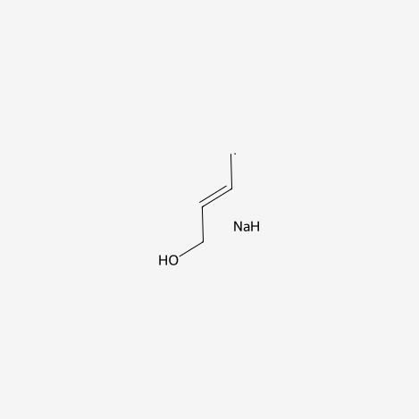 [CH2]C=CCO.[NaH]